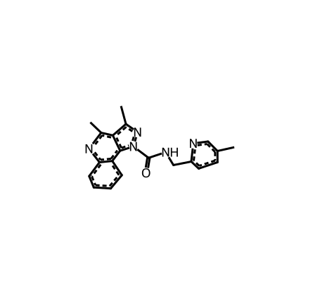 Cc1ccc(CNC(=O)n2nc(C)c3c(C)nc4ccccc4c32)nc1